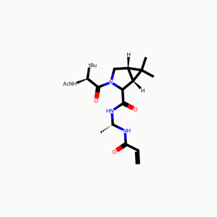 C=CC(=O)N[C@H](C)NC(=O)C1[C@@H]2[C@H](CN1C(=O)[C@@H](NC(C)=O)C(C)(C)C)C2(C)C